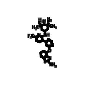 CC1(C)CC(Nc2nc(C(F)(F)F)ccc2-c2cc(Oc3cccc4sc(N)nc34)ncn2)CC(C)(C)N1